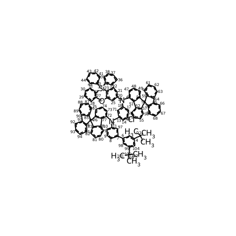 CC(C)(C)c1cc(-c2cccc(N(c3cc(Cl)cc(N(c4ccc5c(c4)Oc4ccccc4[Si]5(c4ccccc4)c4ccccc4)c4cccc5c4-c4ccccc4C54c5ccccc5-c5ccccc54)c3)c3cccc4c3-c3ccccc3C43c4ccccc4-c4ccccc43)c2)cc(C(C)(C)C)c1